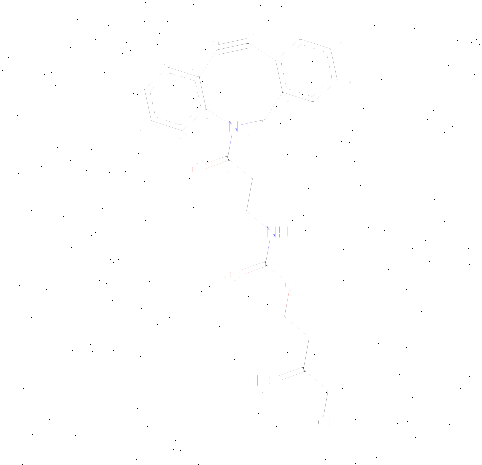 C=C(CC)CCOC(=O)NCCC(=O)N1Cc2ccccc2C#Cc2ccccc21